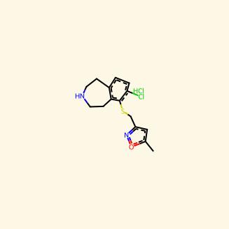 Cc1cc(CSc2c(Cl)ccc3c2CCNCC3)no1.Cl